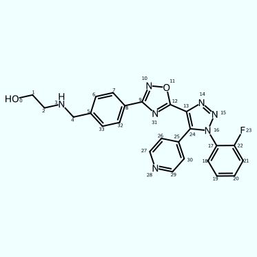 OCCNCc1ccc(-c2noc(-c3nnn(-c4ccccc4F)c3-c3ccncc3)n2)cc1